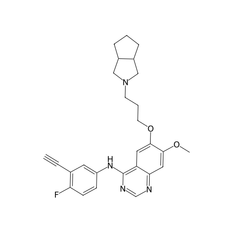 C#Cc1cc(Nc2ncnc3cc(OC)c(OCCCN4CC5CCCC5C4)cc23)ccc1F